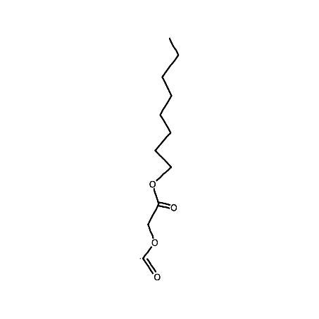 CCCCCCCCOC(=O)CO[C]=O